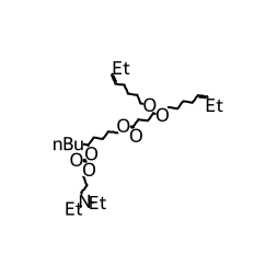 [CH2]CCCC(CCCCOC(=O)CCC(OCCCC/C=C\CC)OCCCC/C=C\CC)OC(=O)OCCCN(CC)CC